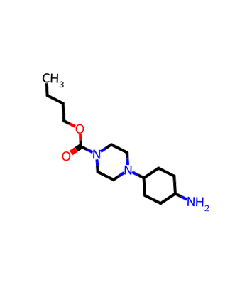 CCCCOC(=O)N1CCN(C2CCC(N)CC2)CC1